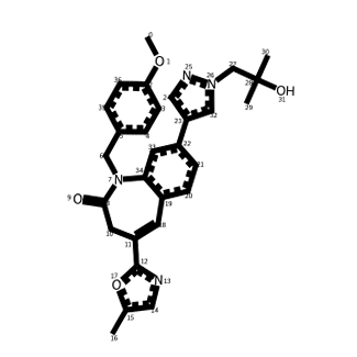 COc1ccc(CN2C(=O)CC(c3ncc(C)o3)=Cc3ccc(-c4cnn(CC(C)(C)O)c4)cc32)cc1